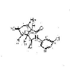 O=C1C[C@H]2CC[C@@H]1[C@H]1C(=O)N(c3cccc(Cl)c3)C(=O)[C@@H]21